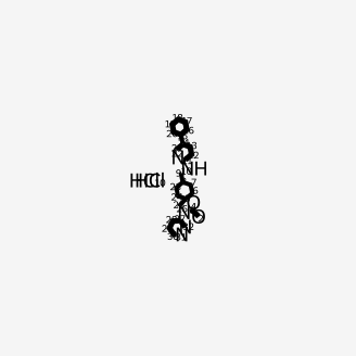 Cl.Cl.O=C1OC2(CCC(CNc3ccc(-c4ccccc4)cn3)CC2)CN1c1cccnn1